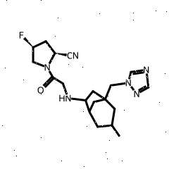 CC1CC2CC(Cn3cncn3)(C1)CC2NCC(=O)N1C[C@@H](F)C[C@H]1C#N